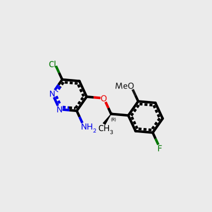 COc1ccc(F)cc1[C@@H](C)Oc1cc(Cl)nnc1N